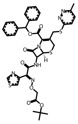 Cc1ccc(SCC2=C(C(=O)OC(c3ccccc3)c3ccccc3)N3C(=O)C(NC(=O)C(=NOCC(=O)OC(C)(C)C)c4cscn4)[C@@H]3SC2)nn1